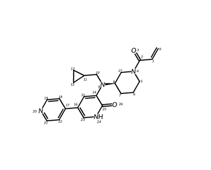 C=CC(=O)N1CCC[C@@H](N(CC2CC2)c2cc(-c3ccncc3)c[nH]c2=O)C1